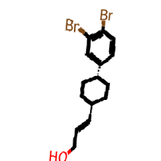 OC/C=C/[C@H]1CC[C@H](c2ccc(Br)c(Br)c2)CC1